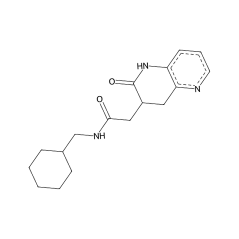 O=C(CC1Cc2ncccc2NC1=O)NCC1CCCCC1